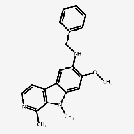 COc1cc2c(cc1NCc1ccccc1)c1ccnc(C)c1n2C